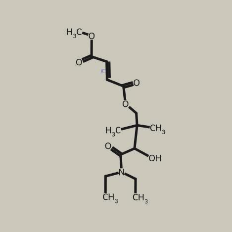 CCN(CC)C(=O)C(O)C(C)(C)COC(=O)/C=C/C(=O)OC